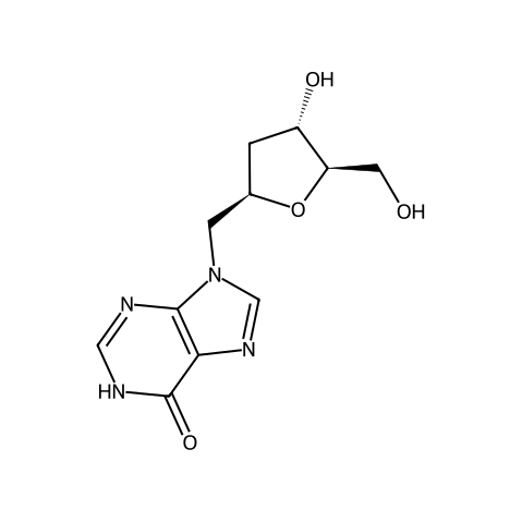 O=c1[nH]cnc2c1ncn2C[C@H]1C[C@H](O)[C@@H](CO)O1